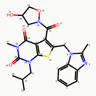 Cc1nc2ccccc2n1Cc1sc2c(c1C(=O)N1CC(O)CO1)c(=O)n(C)c(=O)n2CC(C)C